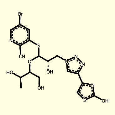 C[C@@H](O)C(CO)OC(Sc1cc(Br)cnc1C#N)[C@@H](O)Cn1cc(-c2csc(O)n2)nn1